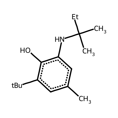 CCC(C)(C)Nc1cc(C)cc(C(C)(C)C)c1O